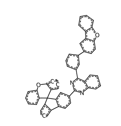 c1cc(-c2ccc3oc4ccccc4c3c2)cc(-c2nc(-c3ccc4c(c3)C3(c5ccccc5Oc5ccccc53)c3ccccc3-4)nc3ccccc23)c1